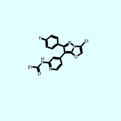 CCC(=O)Nc1cc(-c2c(-c3ccc(F)cc3)nn3c(CC)coc23)ccn1